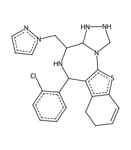 Clc1ccccc1C1NC(Cn2cccn2)C2NNCN2c2sc3c(c21)CCC=C3